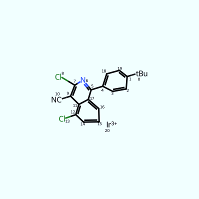 CC(C)(C)c1ccc(-c2nc(Cl)c(C#N)c3c(Cl)cccc23)cc1.[Ir+3]